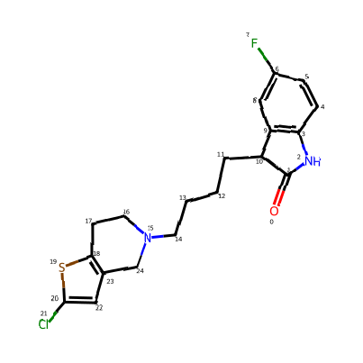 O=C1Nc2ccc(F)cc2C1CCCCN1CCc2sc(Cl)cc2C1